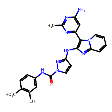 Cc1nc(N)cc(-c2c(Nc3ccn(C(=O)Nc4ccc(C(=O)O)c(C)c4)n3)nc3ccccn23)n1